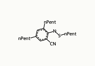 CCCCCS[N]c1c(C#N)cc(CCCCC)cc1CCCCC